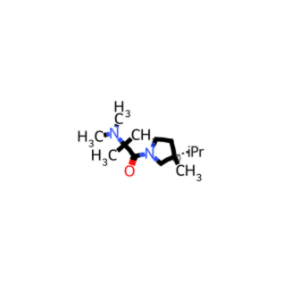 CC(C)[C@@]1(C)CCN(C(=O)C(C)(C)N(C)C)C1